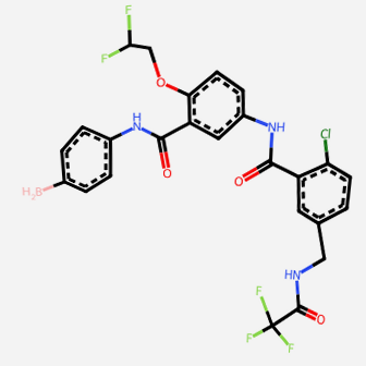 Bc1ccc(NC(=O)c2cc(NC(=O)c3cc(CNC(=O)C(F)(F)F)ccc3Cl)ccc2OCC(F)F)cc1